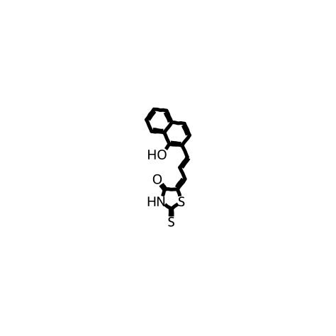 O=C1NC(=S)SC1=CC=Cc1ccc2ccccc2c1O